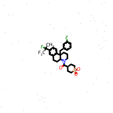 CC(F)(c1ccc2c(c1)CCC1N(C(=O)C3CCS(=O)(=O)CC3)CCCC21Cc1cccc(F)c1)C(F)(F)F